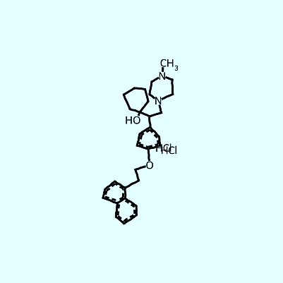 CN1CCN(CC(c2ccc(OCCc3cccc4ccccc34)cc2)C2(O)CCCCC2)CC1.Cl.Cl